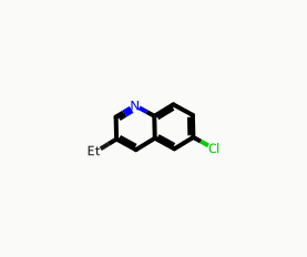 CCc1cnc2ccc(Cl)cc2c1